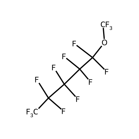 FC(F)(F)OC(F)(F)C(F)(F)C(F)(F)C(F)(F)C(F)(F)F